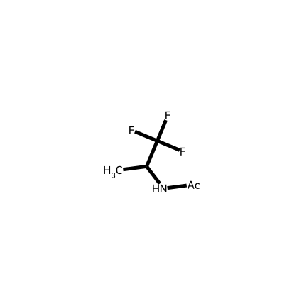 CC(=O)NC(C)C(F)(F)F